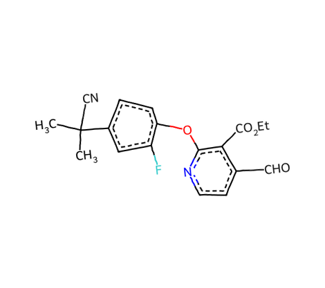 CCOC(=O)c1c(C=O)ccnc1Oc1ccc(C(C)(C)C#N)cc1F